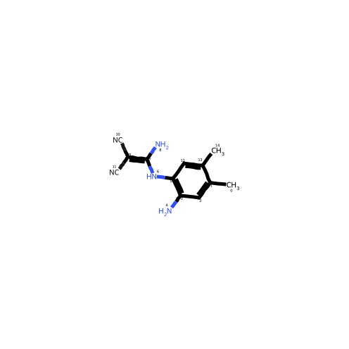 Cc1cc(N)c(NC(N)=C(C#N)C#N)cc1C